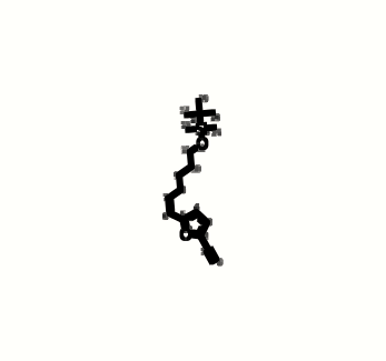 C#Cc1ccc(/C=C\CCCCO[Si](C)(C)C(C)(C)C)o1